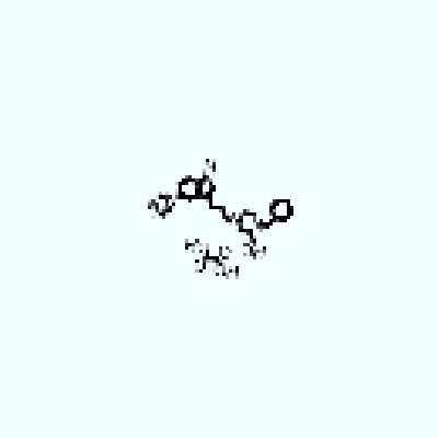 O=C(O)C(=O)O.OCC1CN(CCCc2c[nH]c3ccc(-n4cnnc4)cc23)CCN1Cc1ccccc1